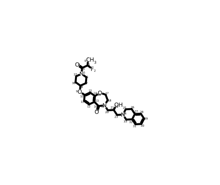 CC(F)C(=O)N1CCC(Oc2ccc3c(c2)OCCN(CC(O)CN2CCc4ccccc4C2)C3=O)CC1